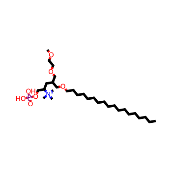 CCCCCCCCCCCCCCCCCCOCC(COCCOC)CC(COP(=O)(O)O)[N+](C)(C)C